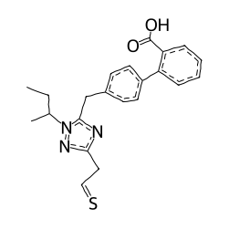 CCC(C)n1nc(CC=S)nc1Cc1ccc(-c2ccccc2C(=O)O)cc1